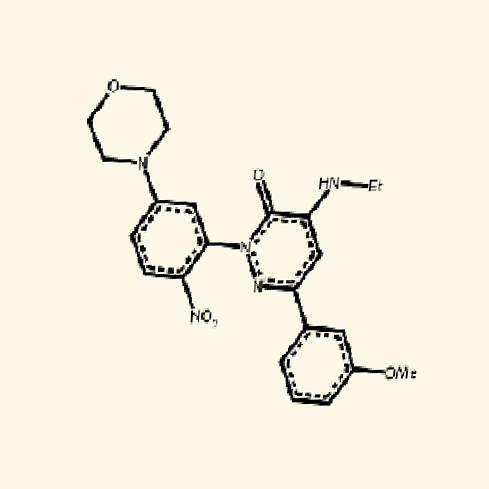 CCNc1cc(-c2cccc(OC)c2)nn(-c2cc(N3CCOCC3)ccc2[N+](=O)[O-])c1=O